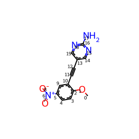 COc1ccc([N+](=O)[O-])cc1C#Cc1cnc(N)nc1